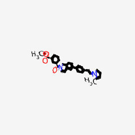 COC(=O)[C@H]1CCC[C@@H](C(=O)N2CCc3cc(-c4ccc(CCN5CCC[C@H]5C)cc4)ccc3C2)C1